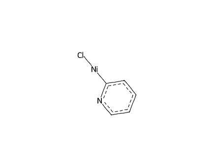 [Cl][Ni][c]1ccccn1